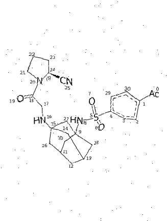 CC(=O)c1ccc(S(=O)(=O)NC23CC4CC(CC(NCC(=O)N5CCC[C@H]5C#N)(C4)C2)C3)cc1